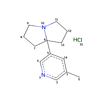 Cc1cncc(C23CCCN2CCC3)c1.Cl